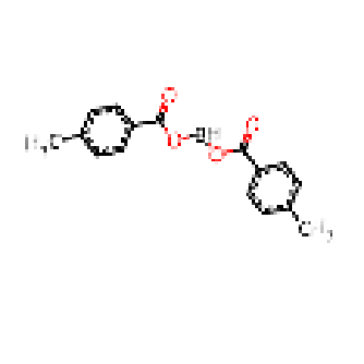 Cc1ccc(C(=O)OBOC(=O)c2ccc(C)cc2)cc1